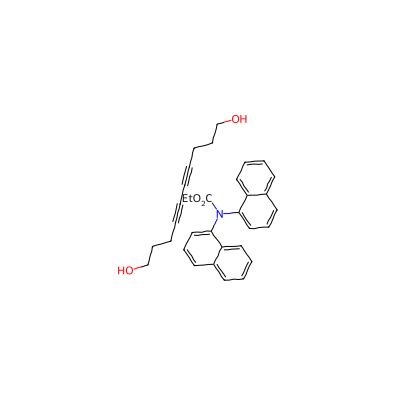 CCOC(=O)N(c1cccc2ccccc12)c1cccc2ccccc12.OCCCC#CC#CCCCO